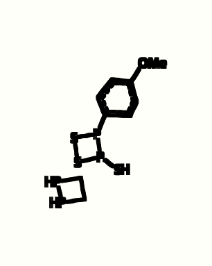 C1CPP1.COc1ccc(P2SSP2S)cc1